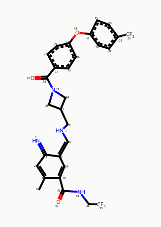 CC1=CC(=N)/C(=C\NCC2CN(C(=O)c3ccc(Oc4ccc(C(F)(F)F)cc4)cc3)C2)C=C1C(=O)NCC(F)(F)F